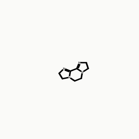 C1CN2CCN3CCN=C3C2=N1